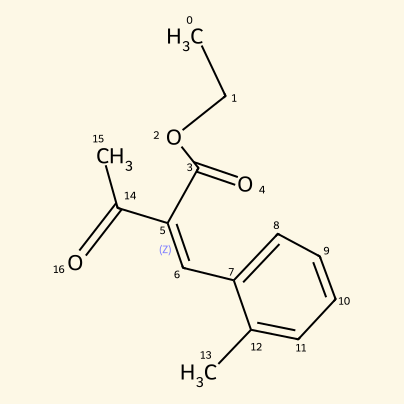 CCOC(=O)/C(=C\c1ccccc1C)C(C)=O